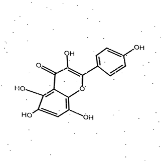 O=c1c(O)c(-c2ccc(O)cc2)oc2c(O)cc(O)c(O)c12